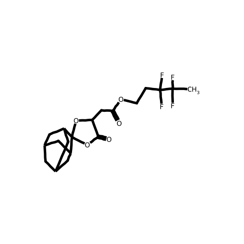 CC(F)(F)C(F)(F)CCOC(=O)CC1OC2(OC1=O)C1CC3CC(C1)CC2C3